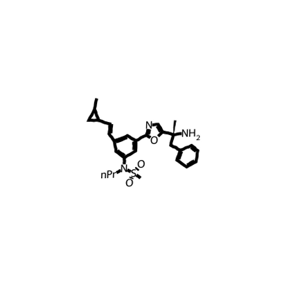 CCCN(c1cc(C=CC2CC2C)cc(-c2ncc([C@](C)(N)Cc3ccccc3)o2)c1)S(C)(=O)=O